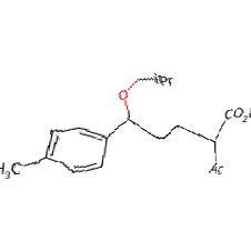 CCOC(=O)C(CCC(OC(C)C)c1ccc(C)cc1)C(C)=O